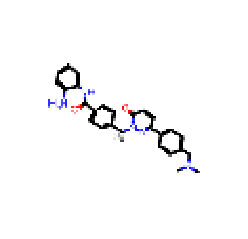 C[C@@H](c1ccc(C(=O)Nc2ccccc2N)cc1)n1nc(-c2ccc(CN(C)C)cc2)ccc1=O